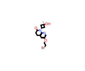 C[C@]1(O)C[C@@H](N2C(=O)CCc3cc(OCCBr)cnc32)C1